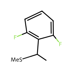 CSC(C)c1c(F)cccc1F